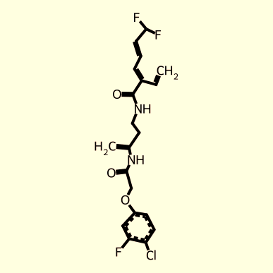 C=C/C(=C\C=C\C(F)F)C(=O)NCCC(=C)NC(=O)COc1ccc(Cl)c(F)c1